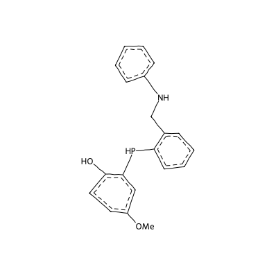 COc1ccc(O)c(Pc2ccccc2CNc2ccccc2)c1